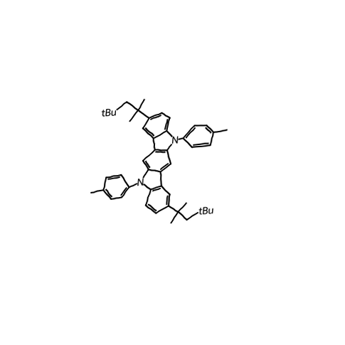 Cc1ccc(-n2c3ccc(C(C)(C)CC(C)(C)C)cc3c3cc4c(cc32)c2cc(C(C)(C)CC(C)(C)C)ccc2n4-c2ccc(C)cc2)cc1